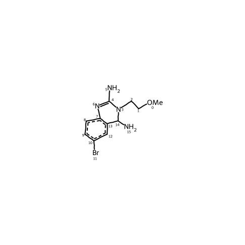 COCCN1C(N)=Nc2ccc(Br)cc2C1N